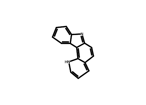 c1c[nH]c2c(c1)ccc1nc3ccccc3c12